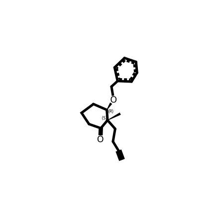 C#CCC[C@]1(C)C(=O)CCC[C@H]1OCc1ccccc1